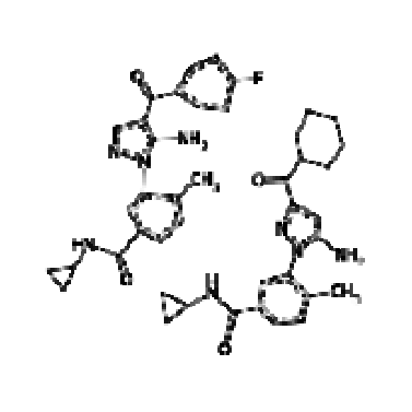 Cc1ccc(C(=O)NC2CC2)cc1-n1nc(C(=O)C2CCCCC2)cc1N.Cc1ccc(C(=O)NC2CC2)cc1-n1ncc(C(=O)c2ccc(F)cc2)c1N